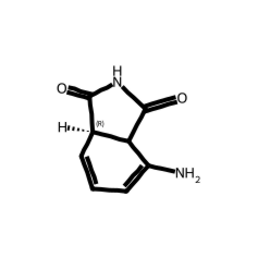 NC1=CC=C[C@H]2C(=O)NC(=O)C12